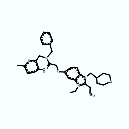 CCn1c(CN)[n+](CC2CCOCC2)c2ccc(OCC(=O)N(Cc3ccccc3)Cc3nc(C)ccc3O)cc21